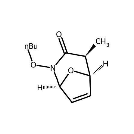 CCCCON1C(=O)[C@@H](C)[C@H]2C=C[C@@H]1O2